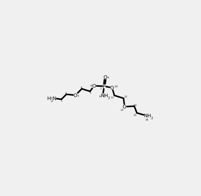 NCCOCCOP(N)(=O)OCCOCCN